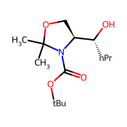 CCC[C@@H](O)[C@@H]1COC(C)(C)N1C(=O)OC(C)(C)C